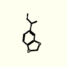 CCC(C)c1ccc2c(c1)OCO2